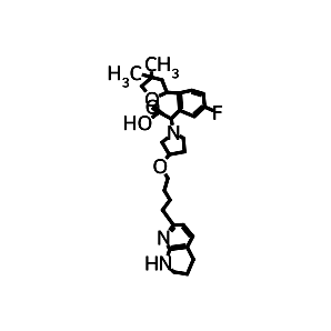 CC1(C)COC(c2ccc(F)cc2C(C(=O)O)N2CCC(OCCCCc3ccc4c(n3)NCCC4)C2)C1